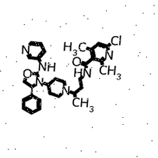 Cc1cc(Cl)nc(C)c1C(=O)NCCC(C)N1CCC(N2[C@@H](c3ccccc3)CO[C@@H]2Nc2cccnc2)CC1